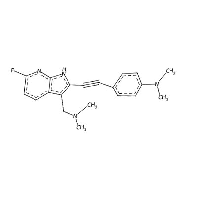 CN(C)Cc1c(C#Cc2ccc(N(C)C)cc2)[nH]c2nc(F)ccc12